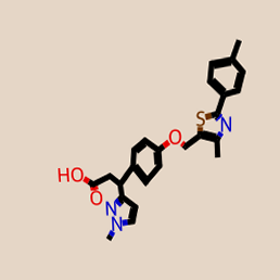 Cc1ccc(-c2nc(C)c(COc3ccc(C(CC(=O)O)c4ccn(C)n4)cc3)s2)cc1